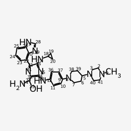 CN1CCN(C2CCN(c3ccc(Nc4nc(NC5CC5)c(-c5cccc6[nH]cnc56)nc4C(N)O)cc3)CC2)CC1